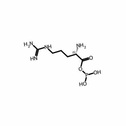 N=C(N)NCCC[C@H](N)C(=O)OP(O)O